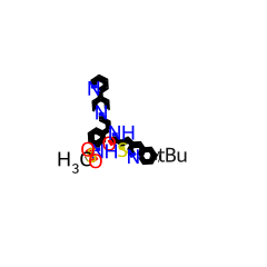 CC(C)(C)[C@H]1CCc2nc3sc(C(=O)NC(CCN4CCC(c5ccccn5)CC4)c4cccc(NS(C)(=O)=O)c4)cc3cc2C1